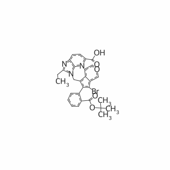 CCc1nc2ccc(C(=O)O)nc2n1Cc1c2ccocc-2c(Br)c1-c1ccccc1C(=O)OC(C)(C)C